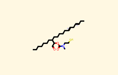 CC/C=C/C/C=C/CCCCCC(CCCCCCC)C(C=O)OC(=O)N(C)CCS